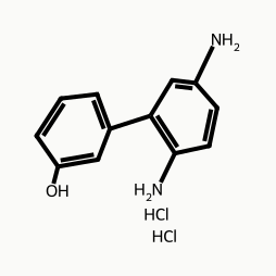 Cl.Cl.Nc1ccc(N)c(-c2cccc(O)c2)c1